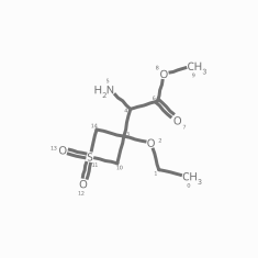 CCOC1(C(N)C(=O)OC)CS(=O)(=O)C1